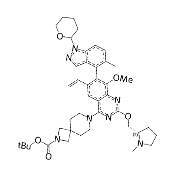 C=Cc1cc2c(N3CCC4(CC3)CN(C(=O)OC(C)(C)C)C4)nc(OC[C@@H]3CCCN3C)nc2c(OC)c1-c1c(C)ccc2c1cnn2C1CCCCO1